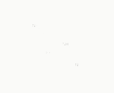 NCCCCC(O)C(N)CCCN